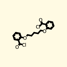 O=C(Cl)c1ccccc1OCCCCCOc1ccccc1C(=O)Cl